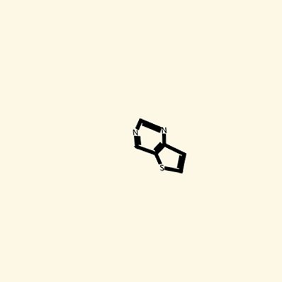 [c]1ncnc2ccsc12